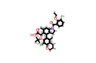 CCOc1c(F)cccc1C(=O)N1CCc2c1cc(C)c([C@H](OC(C)(C)C)C(=O)O)c2-c1cc(F)c2c(c1C)CCCO2